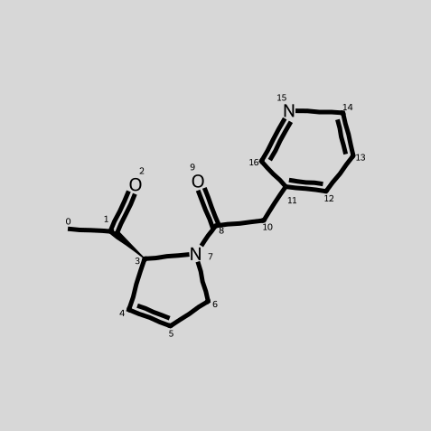 CC(=O)[C@@H]1C=CCN1C(=O)Cc1cccnc1